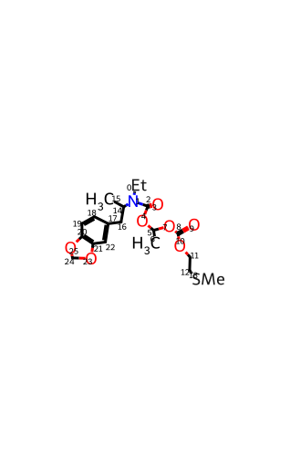 CCN(C(=O)OC(C)OC(=O)OCCSC)C(C)Cc1ccc2c(c1)OCO2